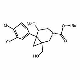 COC1CN(C(=O)OC(C)(C)C)CC2(CO)CC12c1ccc(Cl)c(Cl)c1